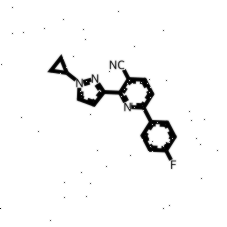 N#Cc1ccc(-c2ccc(F)cc2)nc1-c1ccn(C2CC2)n1